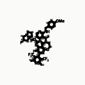 COc1ccc(CNc2ncccc2[C@@H](C)N2CCOc3nc(-c4c(C(F)(F)F)c(C)nc(C)c4C(F)(F)F)c(F)c4nc(OC[C@@]56CCCN5C[C@H](F)C6)nc2c34)cc1